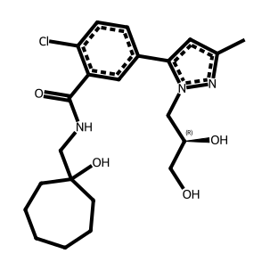 Cc1cc(-c2ccc(Cl)c(C(=O)NCC3(O)CCCCCC3)c2)n(C[C@@H](O)CO)n1